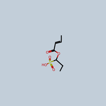 CC=CC(=O)OC(CC)S(=O)(=O)O